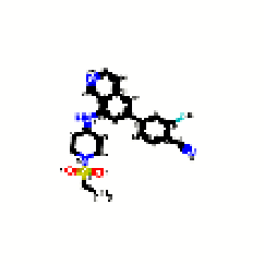 CCS(=O)(=O)N1CCC(Nc2cc(-c3ccc(C#N)c(F)c3)cc3ccncc23)CC1